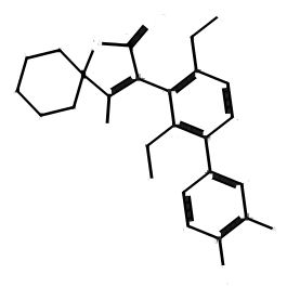 CCc1ccc(-c2ccc(F)c(F)c2)c(CC)c1C1=C(O)C2(CCCCC2)NC1=O